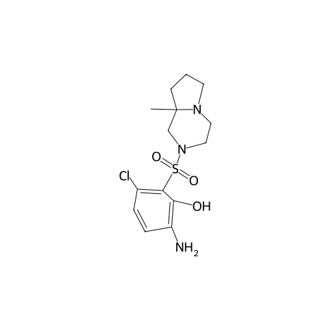 CC12CCCN1CCN(S(=O)(=O)c1c(Cl)ccc(N)c1O)C2